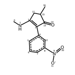 CNC1=C(c2cccc([N+](=O)[O-])c2)C(=O)C(C)C1